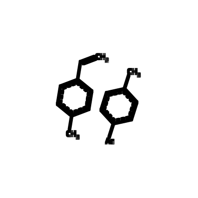 C=Cc1ccc(C)cc1.CC(=O)c1ccc(C)cc1